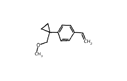 C=Cc1ccc(C2(COC)CC2)cc1